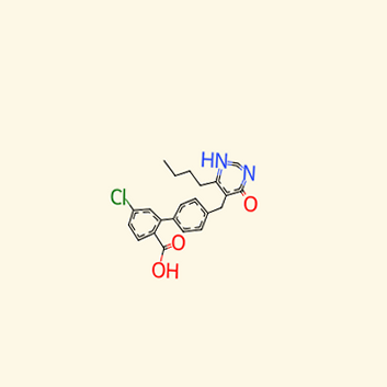 CCCCc1[nH]cnc(=O)c1Cc1ccc(-c2cc(Cl)ccc2C(=O)O)cc1